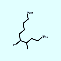 CCCC(C)CCCCC(C(C)C)C(C)CCNC